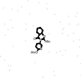 CCCCc1nc2ccccc2c(=O)n1-c1ccc(OC)nc1